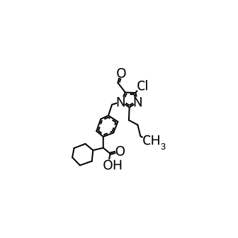 CCCCc1nc(Cl)c(C=O)n1Cc1ccc(C(C(=O)O)C2CCCCC2)cc1